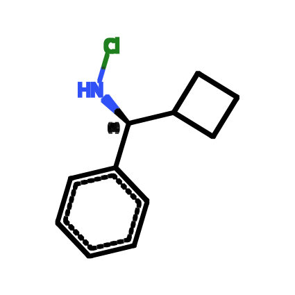 ClN[C@H](c1ccccc1)C1CCC1